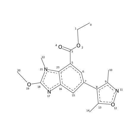 CCOC(=O)c1cc(-c2c(C)noc2C)cc2nc(OC)n(C)c12